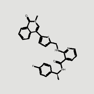 C[C@H](NC(=O)c1cccnc1NCc1ccc(-c2cn(C)c(=O)c3ccccc23)s1)c1ccc(F)cc1